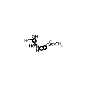 CCOC(=O)COc1ccc2c(c1)C[C@@H](NC[C@@H](O)c1ccc(O)c(CO)c1)CC2